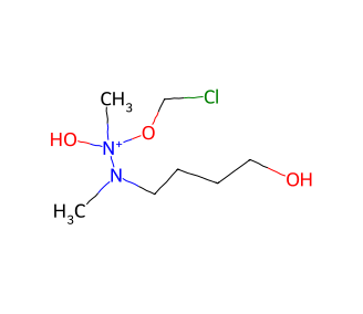 CN(CCCCO)[N+](C)(O)OCCl